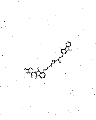 O=C(CCc1ccc2c(c1)[nH]c1ccncc12)NCCOCCNc1cccc2c1C(=O)N(C1CCC(=O)NC1=O)C2=O